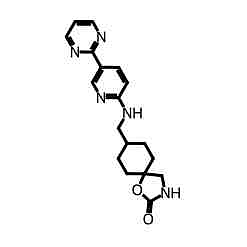 O=C1NCC2(CCC(CNc3ccc(-c4ncccn4)cn3)CC2)O1